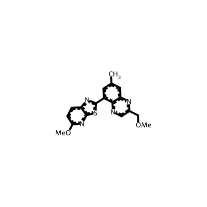 COCc1cnc2c(-c3nc4ccc(OC)nc4s3)cc(C)cc2n1